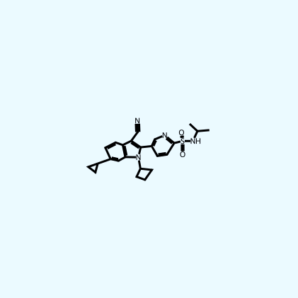 CC(C)NS(=O)(=O)c1ccc(-c2c(C#N)c3ccc(C4CC4)cc3n2C2CCC2)cn1